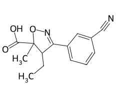 CCC1C(c2cccc(C#N)c2)=NOC1(C)C(=O)O